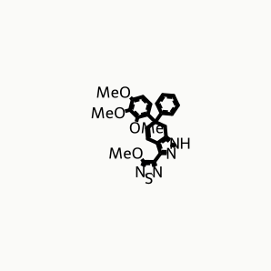 COc1ccc(C2(c3ccccc3)C=Cc3c(-c4nsnc4OC)n[nH]c3C2)c(OC)c1OC